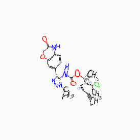 C#C/C=C\C(=C(/C)Cl)[C@@H](C)OC(=O)Nc1c(-c2ccc3c(c2)OCC(=O)N3)nnn1C